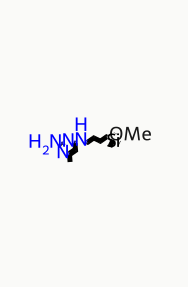 CO[Si](C)(C)CCCCNc1cc(C)nc(N)n1